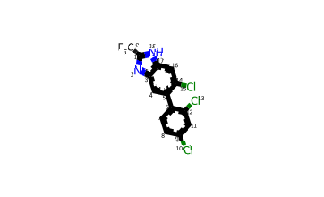 FC(F)(F)c1nc2cc(-c3ccc(Cl)cc3Cl)c(Cl)cc2[nH]1